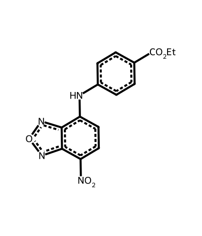 CCOC(=O)c1ccc(Nc2ccc([N+](=O)[O-])c3nonc23)cc1